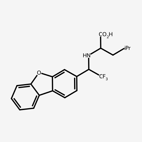 CC(C)CC(NC(c1ccc2c(c1)oc1ccccc12)C(F)(F)F)C(=O)O